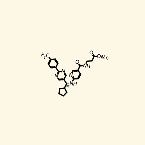 COC(=O)CCNC(=O)c1ccc(N[C@@H](c2cnc(-c3ccc(C(F)(F)F)cc3)nc2)C2CCCC2)nc1